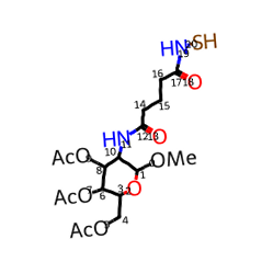 COC1OC(COC(C)=O)C(OC(C)=O)C(OC(C)=O)C1NC(=O)CCCC(=O)NS